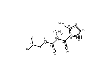 CC(C)COC(=O)N(N)C(=O)c1[nH]ccc1F